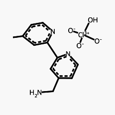 Cc1ccnc(-c2cc(CN)ccn2)c1.[O-][Cl+3]([O-])([O-])O